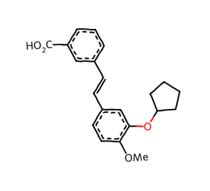 COc1ccc(/C=C/c2cccc(C(=O)O)c2)cc1OC1CCCC1